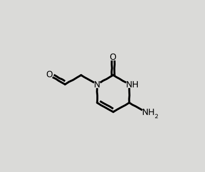 NC1C=CN(CC=O)C(=O)N1